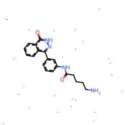 NCCCCC(=O)Nc1cccc(-c2n[nH]c(=O)c3ccccc23)c1